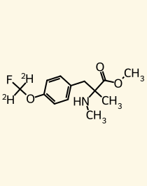 [2H]C([2H])(F)Oc1ccc(CC(C)(NC)C(=O)OC)cc1